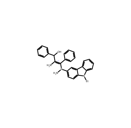 CCn1c2ccccc2c2cc(N(N)/C(=C(\N)C(O)c3ccccc3)c3ccccc3)ccc21